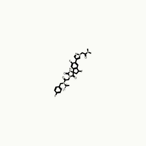 C[C@H](N(Cc1ccc(F)cc1)C(=O)CN1C(=O)NC2(CC(F)c3cc(-c4cnn(CC(=O)N(C)C)c4)c(F)cc32)C1=O)C(F)(F)F